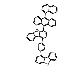 c1ccc2c(-c3c4ccccc4c(-c4ccc(-c5ccc(-c6cccc7oc8ccccc8c67)cc5)c5c4oc4ccccc45)c4ccccc34)cccc2c1